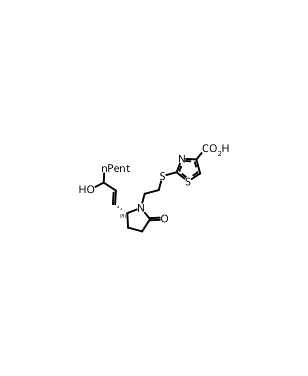 CCCCCC(O)C=C[C@H]1CCC(=O)N1CCSc1nc(C(=O)O)cs1